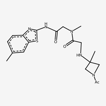 CC(=O)N1CC(C)(NCC(=O)N(C)CC(=O)Nc2nc3ccc(C)cc3s2)C1